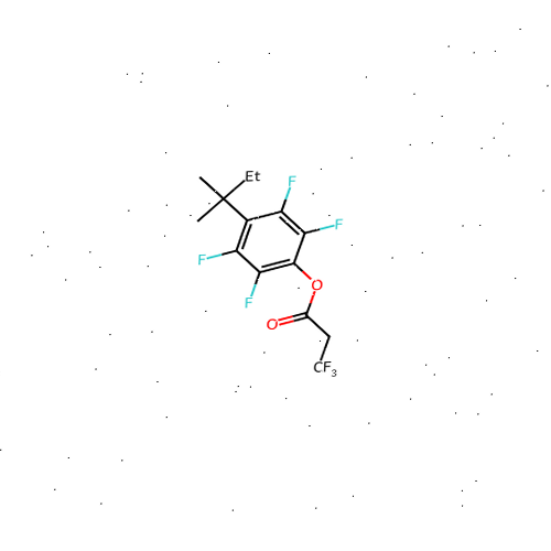 CCC(C)(C)c1c(F)c(F)c(OC(=O)CC(F)(F)F)c(F)c1F